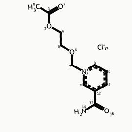 CC(=O)OCCOC[n+]1cccc(C(N)=O)c1.[Cl-]